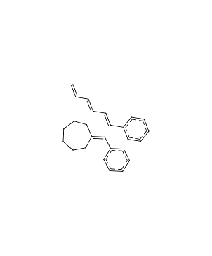 C(=C1CCCCCC1)c1ccccc1.C=CC=CC=Cc1ccccc1